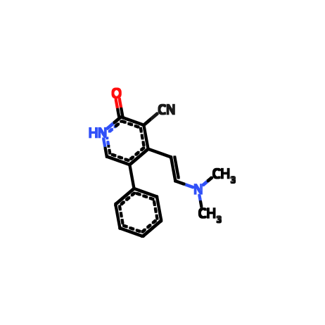 CN(C)C=Cc1c(-c2ccccc2)c[nH]c(=O)c1C#N